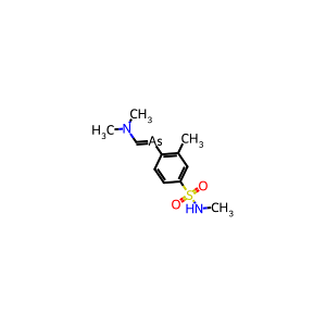 CNS(=O)(=O)c1ccc(/[As]=C/N(C)C)c(C)c1